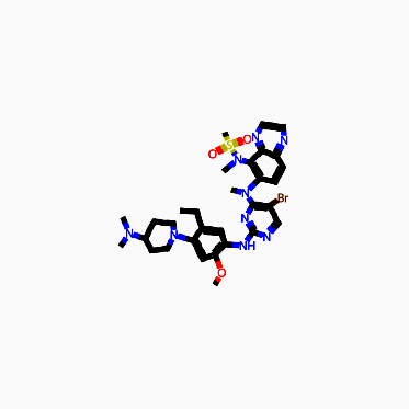 CCc1cc(Nc2ncc(Br)c(N(C)c3ccc4nccnc4c3N(C)S(C)(=O)=O)n2)c(OC)cc1N1CCC(N(C)C)CC1